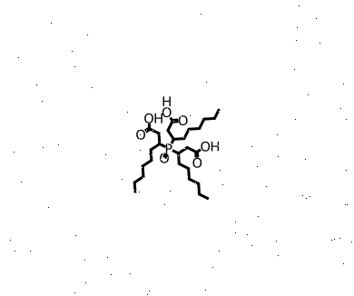 CCCCCCC(CC(=O)O)P(=O)(C(CCCCCC)CC(=O)O)C(CCCCCC)CC(=O)O